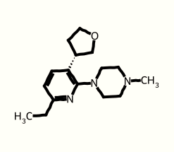 CCc1ccc([C@@H]2CCOC2)c(N2CCN(C)CC2)n1